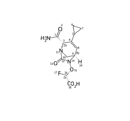 NC(=O)[C@@H]1C(C2CC2)=C[C@@H]2CN1C(=O)N2O[C@@H](F)C(=O)O